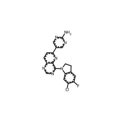 Nc1ncc(-c2ccc3ncnc(N4CCc5cc(F)c(Cl)cc54)c3n2)cn1